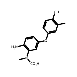 Cc1cc(Oc2ccc(N)c(N(C)C(=O)O)c2)ccc1O